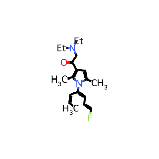 C\C=C/C(=C\C=C\F)n1c(C)cc(C(=O)CN(CC)CC)c1C